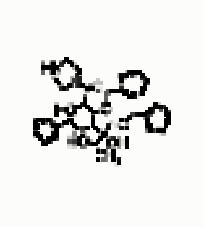 C[C@@H](O)[C@](O)(COCc1ccccc1)[C@@H](OCc1ccccc1)[C@H](OCc1ccccc1)[C@@H](O)C(=O)N1CCNCC1